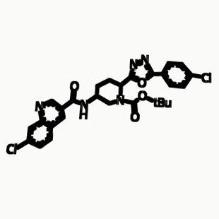 CC(C)(C)OC(=O)N1CC(NC(=O)c2cnc3cc(Cl)ccc3c2)CCC1c1nnc(-c2ccc(Cl)cc2)o1